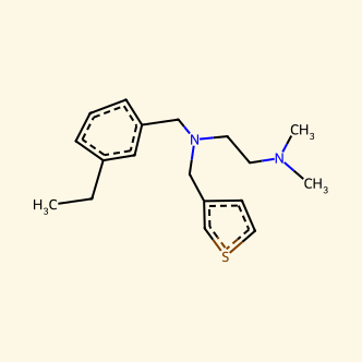 CCc1cccc(CN(CCN(C)C)Cc2ccsc2)c1